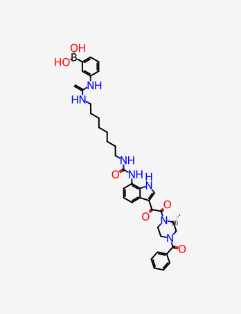 C=C(NCCCCCCCCNC(=O)Nc1cccc2c(C(=O)C(=O)N3CCN(C(=O)c4ccccc4)C[C@H]3C)c[nH]c12)Nc1cccc(B(O)O)c1